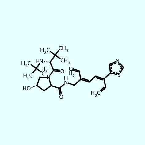 C=C/C(=C\C=C(/C=C)c1cncs1)CNC(=O)C1C[C@H](O)CN1C(=O)[C@H](NC(C)(C)C)C(C)(C)C